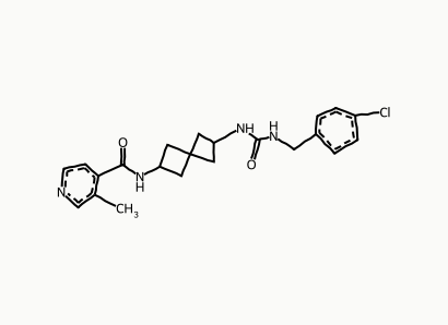 Cc1cnccc1C(=O)NC1CC2(CC(NC(=O)NCc3ccc(Cl)cc3)C2)C1